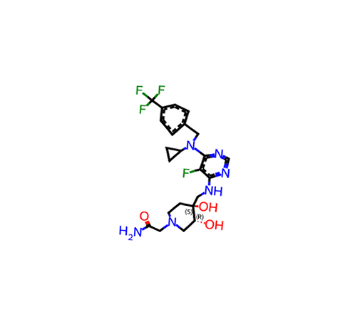 NC(=O)CN1CC[C@](O)(CNc2ncnc(N(Cc3ccc(C(F)(F)F)cc3)C3CC3)c2F)[C@H](O)C1